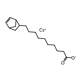 O=C([O-])CCCCCCCCCC1CC2C=CC1C2.[Cs+]